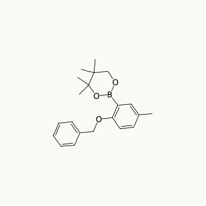 Cc1ccc(OCc2ccccc2)c(B2OCC(C)(C)C(C)(C)O2)c1